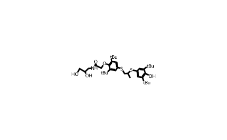 CC(CSc1cc(C(C)(C)C)c(OCC(=O)NCC(O)CO)c(C(C)(C)C)c1)Sc1cc(C(C)(C)C)c(O)c(C(C)(C)C)c1